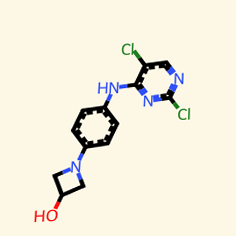 OC1CN(c2ccc(Nc3nc(Cl)ncc3Cl)cc2)C1